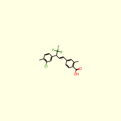 Cc1ccc(C(/C=C/c2ccc(C(=O)O)c(C)c2)C(F)(F)F)cc1Cl